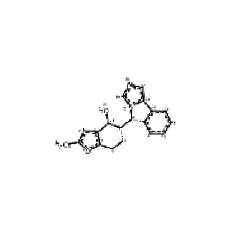 Cc1nc2c(o1)CC[C@@H]([C@H]1c3ccccc3-c3cncn31)[C@@H]2O